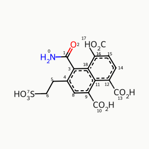 NC(=O)c1c(CCS(=O)(=O)O)cc(C(=O)O)c2c(C(=O)O)ccc(C(=O)O)c12